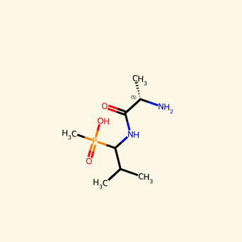 CC(C)C(NC(=O)[C@H](C)N)P(C)(=O)O